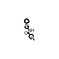 CN1CCC(C(=O)NC2CCN(c3ccccc3)C2)CC1